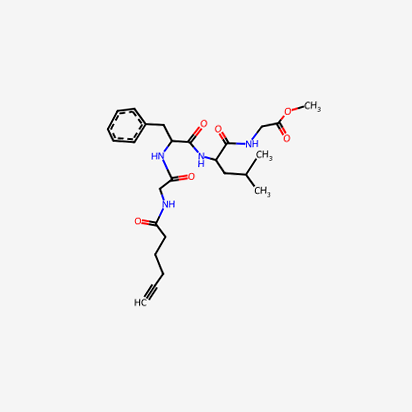 C#CCCCC(=O)NCC(=O)NC(Cc1ccccc1)C(=O)NC(CC(C)C)C(=O)NCC(=O)OC